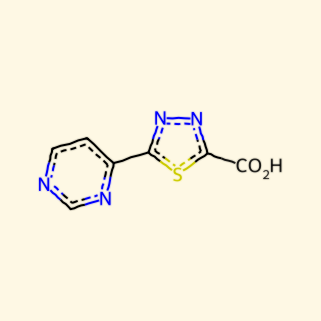 O=C(O)c1nnc(-c2ccncn2)s1